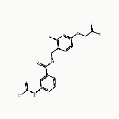 CCC(=O)Nc1cc(C(=O)NCc2ccc(OCC(F)F)nc2C)ccn1